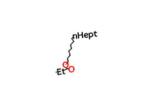 C[CH]C(=O)OCCCCCCCCCCCCCCC